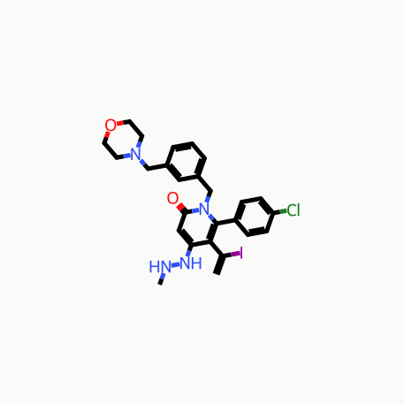 C=C(I)c1c(NNC)cc(=O)n(Cc2cccc(CN3CCOCC3)c2)c1-c1ccc(Cl)cc1